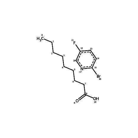 CCCCCCCCC(=O)O.Fc1ccc(Br)nc1